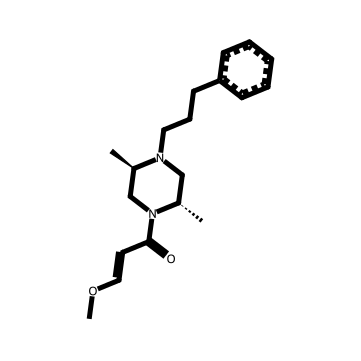 COC=CC(=O)N1C[C@@H](C)N(CCCc2ccccc2)C[C@@H]1C